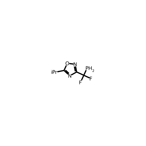 CC(C)c1nc(C(F)(F)P)no1